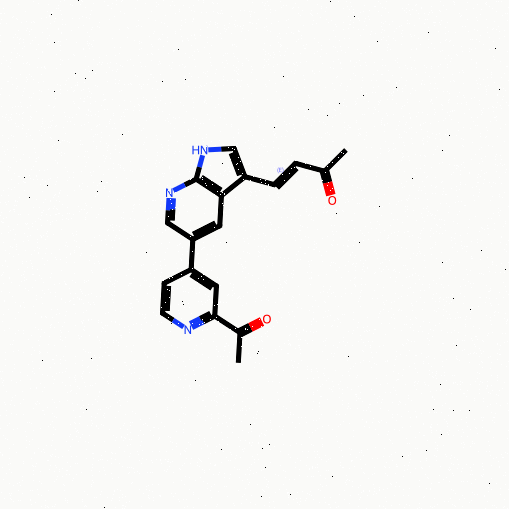 CC(=O)/C=C/c1c[nH]c2ncc(-c3ccnc(C(C)=O)c3)cc12